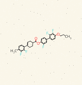 CCCOc1ccc(-c2ccc(OC(=O)C3CC=C(c4ccc(C)c(F)c4F)CC3)c(F)c2)c(F)c1F